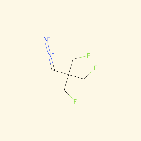 [N-]=[N+]=CC(CF)(CF)CF